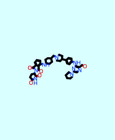 O=Cc1ncc(N2CCCCC2)nc1Nc1ccc(C2CCN(CC3CCC(Nc4cccc5c4C(=O)N(C4CCC(=O)NC4=O)C5=O)CC3)CC2)cc1